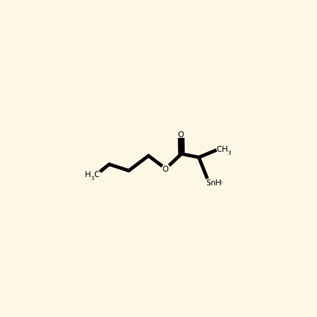 CCCCOC(=O)[CH](C)[SnH]